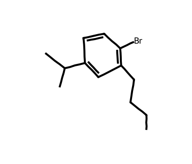 CCCCc1cc(C(C)C)ccc1Br